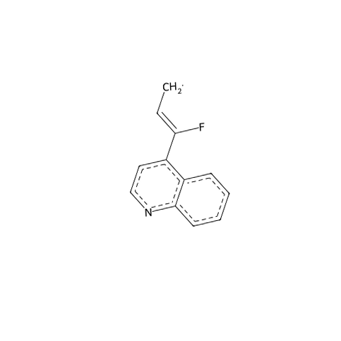 [CH2]/C=C(\F)c1ccnc2ccccc12